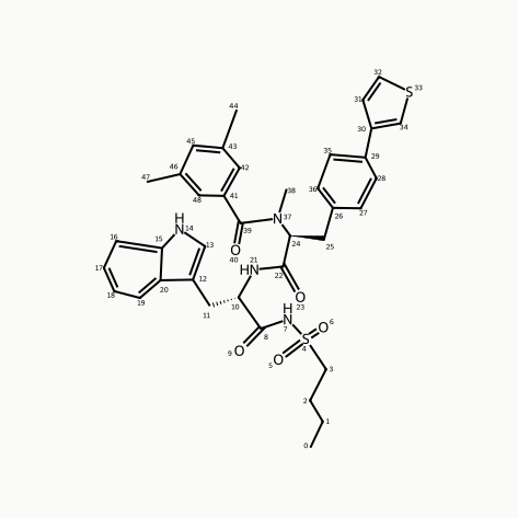 CCCCS(=O)(=O)NC(=O)[C@H](Cc1c[nH]c2ccccc12)NC(=O)[C@H](Cc1ccc(-c2ccsc2)cc1)N(C)C(=O)c1cc(C)cc(C)c1